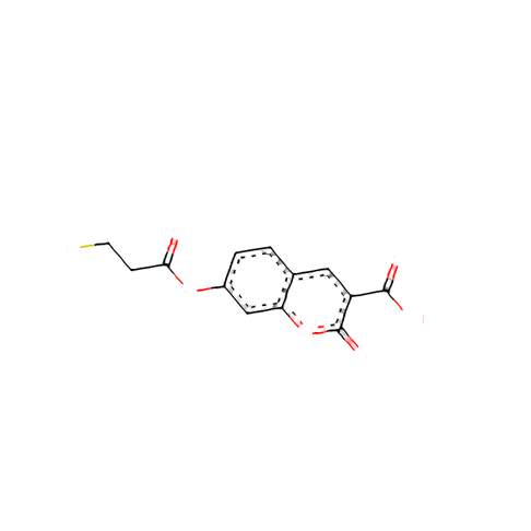 O=C(CCS)Oc1ccc2cc(C(=O)O)c(=O)oc2c1